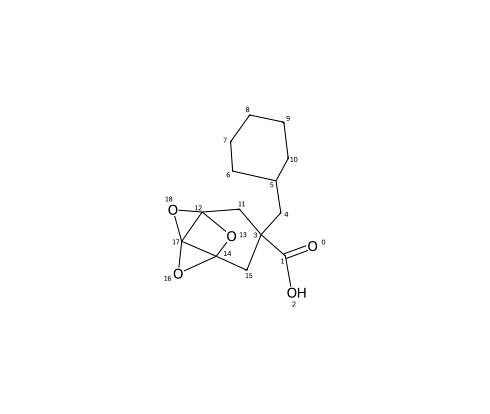 O=C(O)C1(CC2CCCCC2)CC23OC4(C1)OC24O3